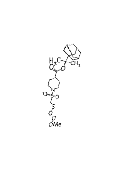 COOOSCS(=O)(=O)N1CCC(C(=O)OC(C)(C)C23CC4CC(CC(C4)C2)C3)CC1